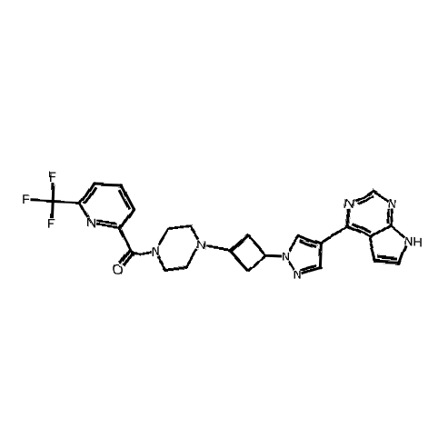 O=C(c1cccc(C(F)(F)F)n1)N1CCN(C2C[C](n3cc(-c4ncnc5[nH]ccc45)cn3)C2)CC1